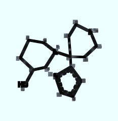 OC1CCCN(C2(c3cccs3)CCSCC2)C1